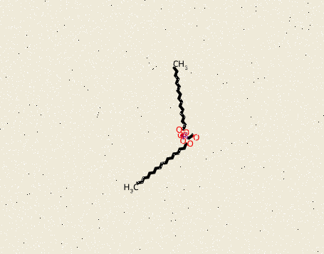 CCCCCCCCCCCCCCCCCC(=O)OP(=O)(C[C]=O)OC(=O)CCCCCCCCCCCCCCCCC